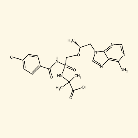 C[C@@H](Cn1cnc2c(N)ncnc21)OCP(=O)(NC(=O)c1ccc(Cl)cc1)NC(C)(C)C(=O)O